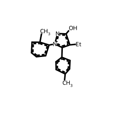 CCc1c(O)nn(-c2ccccc2C)c1-c1ccc(C)cc1